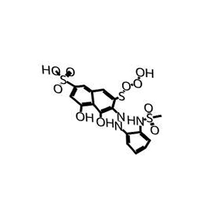 CS(=O)(=O)Nc1ccccc1N=Nc1c(SOOO)cc2cc(S(=O)(=O)O)cc(O)c2c1O